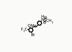 COc1c(C=Cc2ccc(NS(C)(=O)=O)cc2)cc(Br)cc1C(F)(F)F